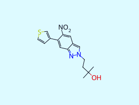 CC(C)(O)CCn1cc2cc([N+](=O)[O-])c(-c3ccsc3)cc2n1